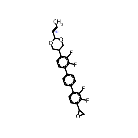 C/C=C/C1OCC(c2ccc(-c3ccc(-c4ccc(C5CO5)c(F)c4F)cc3)c(F)c2F)CO1